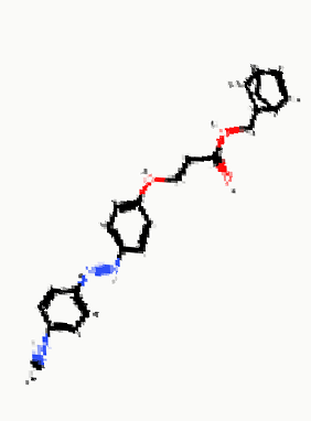 [C-]#[N+]c1ccc(/N=N/c2ccc(OCCC(=O)OCC3CC4C=CC3C4)cc2)cc1